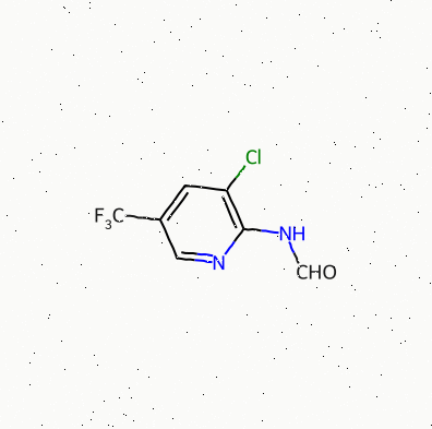 O=CNc1ncc(C(F)(F)F)cc1Cl